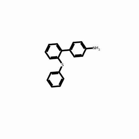 Nc1ccc(-c2ccccc2Sc2ccccc2)cc1